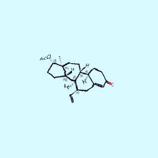 C=C[C@@H]1CC2=CC(=O)CC[C@@H]2[C@H]2CC[C@]3(C)[C@@H](OC(C)=O)CC[C@H]3[C@@H]21